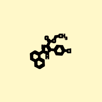 CCOC(=O)c1nc(-c2cccc3ccccc23)[nH]c1-c1ccc(Cl)cc1